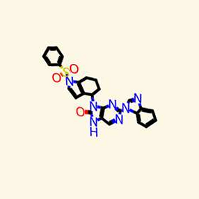 O=c1[nH]c2cnc(-n3cnc4ccccc43)nc2n1C1CCCc2c1ccn2S(=O)(=O)c1ccccc1